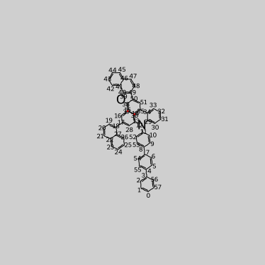 c1ccc(-c2ccc(-c3ccc(N(c4cccc(-c5cccc6ccccc56)c4)c4ccccc4-c4ccc5oc6c7ccccc7ccc6c5c4)cc3)cc2)cc1